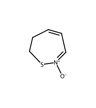 [O-][N+]1=CC=CCCS1